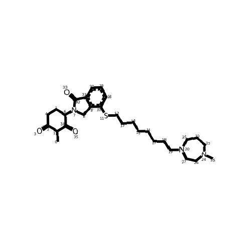 CC1C(=O)CCC(N2Cc3c(SCCCCCCCCN4CCCN(C)CC4)cccc3C2=O)C1=O